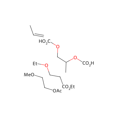 C=CC.CC(COC(=O)O)OC(=O)O.CCOCCC(=O)OCC.COCCOC(C)=O